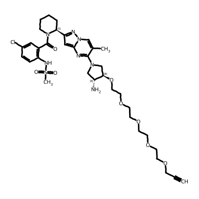 C#CCOCCOCCOCCOCCO[C@@H]1CN(c2nc3cc([C@@H]4CCCCN4C(=O)c4cc(Cl)ccc4NS(C)(=O)=O)nn3cc2C)C[C@H]1N